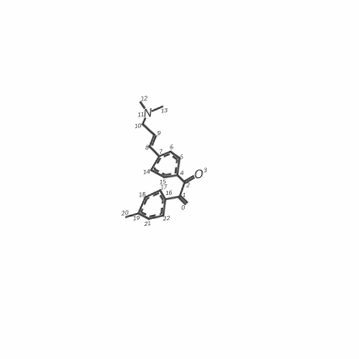 C=C(C(=O)c1ccc(/C=C/CN(C)C)cc1)c1ccc(C)cc1